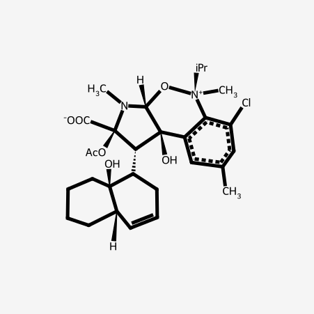 CC(=O)O[C@]1(C(=O)[O-])[C@@H](C2CC=C[C@@H]3CCCC[C@]23O)[C@@]2(O)c3cc(C)cc(Cl)c3[N@+](C)(C(C)C)O[C@H]2N1C